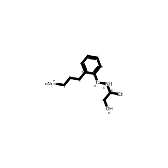 CCCCCCCCCCCCc1ccccc1ONC(CC)CO